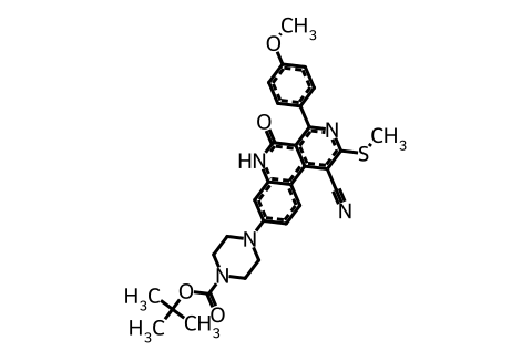 COc1ccc(-c2nc(SC)c(C#N)c3c2c(=O)[nH]c2cc(N4CCN(C(=O)OC(C)(C)C)CC4)ccc23)cc1